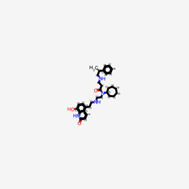 C[C@H](CNCCC(=O)N(CCNCCc1ccc(O)c2[nH]c(=O)ccc12)C1CCCCCC1)c1ccccc1